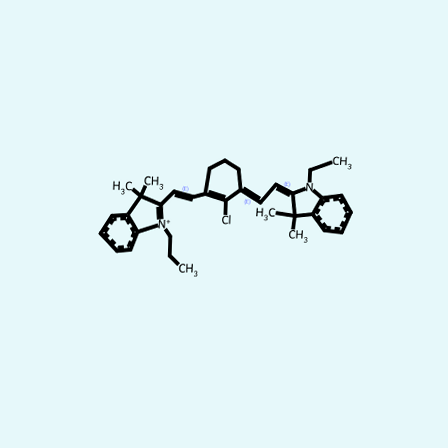 CCC[N+]1=C(/C=C/C2=C(Cl)C(=C/C=C3/N(CC)c4ccccc4C3(C)C)/CCC2)C(C)(C)c2ccccc21